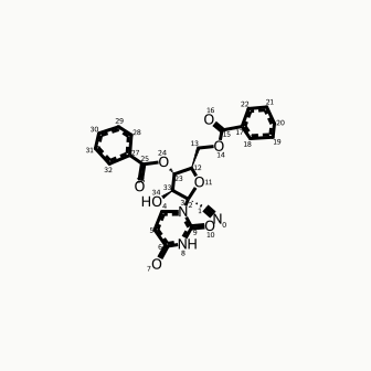 N#C[C@@]1(n2ccc(=O)[nH]c2=O)O[C@H](COC(=O)c2ccccc2)[C@@H](OC(=O)c2ccccc2)[C@@H]1O